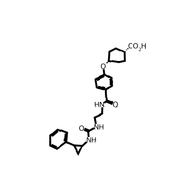 O=C(NCCNC(=O)c1ccc(O[C@H]2CC[C@@H](C(=O)O)CC2)cc1)NC1CC1c1ccccc1